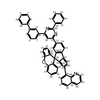 c1ccc(-c2cccc(-c3cc(-c4ccc5c(c4)C4(c6ccccc6Oc6ccccc64)c4cc(-c6cccc7cccnc67)ccc4-5)nc(-c4ccccc4)n3)c2)cc1